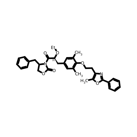 CCO[C@@H](Cc1cc(C)c(OCCc2nc(-c3ccccc3)oc2C)c(C)c1)C(=O)N1C(=O)OCC1Cc1ccccc1